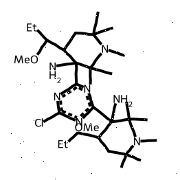 CCC(OC)C1CC(C)(C)N(C)C(C)(C)C1(N)c1nc(Cl)nc(C2(N)C(C(CC)OC)CC(C)(C)N(C)C2(C)C)n1